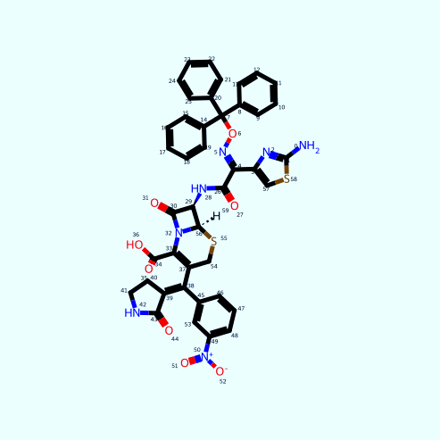 Nc1nc(C(=NOC(c2ccccc2)(c2ccccc2)c2ccccc2)C(=O)N[C@@H]2C(=O)N3C(C(=O)O)=C(C(=C4CCNC4=O)c4cccc([N+](=O)[O-])c4)CS[C@H]23)cs1